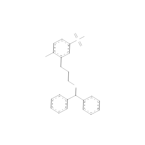 Cc1ccc(S(=O)(=O)O)cc1CCCOC(c1ccccc1)c1ccccc1